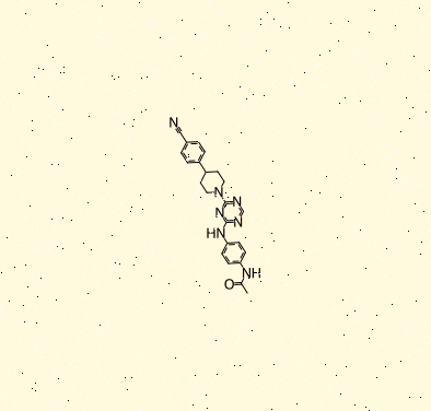 CC(=O)Nc1ccc(Nc2ncnc(N3CCC(c4ccc(C#N)cc4)CC3)n2)cc1